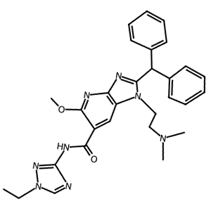 CCn1cnc(NC(=O)c2cc3c(nc2OC)nc(C(c2ccccc2)c2ccccc2)n3CCN(C)C)n1